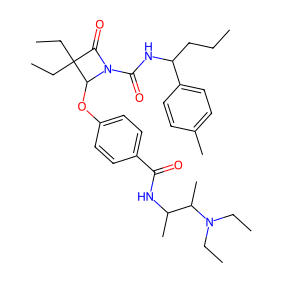 CCCC(NC(=O)N1C(=O)C(CC)(CC)C1Oc1ccc(C(=O)NC(C)C(C)N(CC)CC)cc1)c1ccc(C)cc1